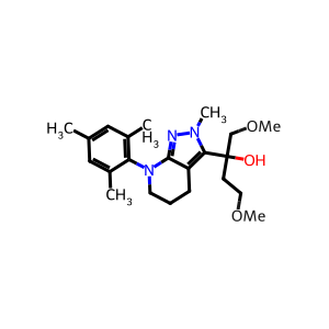 COCCC(O)(COC)c1c2c(nn1C)N(c1c(C)cc(C)cc1C)CCC2